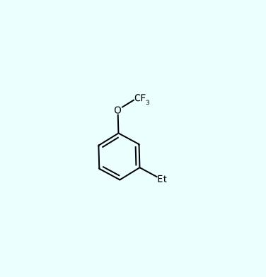 [CH]Cc1cccc(OC(F)(F)F)c1